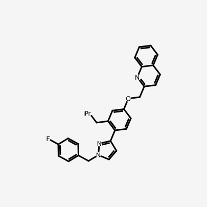 CC(C)Cc1cc(OCc2ccc3ccccc3n2)ccc1-c1ccn(Cc2ccc(F)cc2)n1